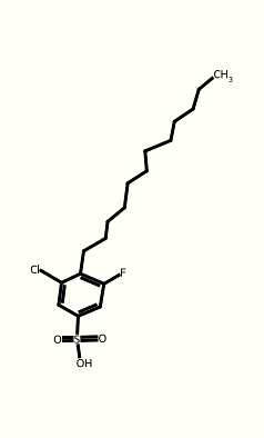 CCCCCCCCCCCCc1c(F)cc(S(=O)(=O)O)cc1Cl